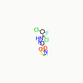 C[C@H](Nc1ncc(S(=O)(=O)c2n[c]cs2)cc1Cl)c1cc(Cl)ccc1F